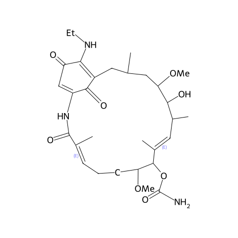 CCNC1=C2CC(C)CC(OC)C(O)C(C)/C=C(\C)C(OC(N)=O)C(OC)CC/C=C(\C)C(=O)NC(=CC1=O)C2=O